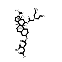 CCCN(CCC)CC(=O)OC1C[C@]2(C)[C@@H](C(C)=O)CC[C@H]2[C@@H]2CCC3CC(OC(=O)CC(CC(=O)O)C(=O)O)CC[C@]3(C)[C@@H]12